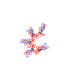 O=c1ccn([C@H]2C[C@H](OP(=O)(O)OC[C@H]3O[C@@H](n4ccc(=O)[nH]c4=O)C[C@@H]3OP(=O)(O)OC[C@H]3O[C@@H](n4ccc(=O)[nH]c4=O)C[C@@H]3OP(=O)(O)OC[C@H]3O[C@@H](n4ccc(=O)[nH]c4=O)C[C@@H]3OP(=O)(O)OC[C@H]3O[C@@H](n4ccc(=O)[nH]c4=O)C[C@@H]3O)[C@@H](CO)O2)c(=O)[nH]1